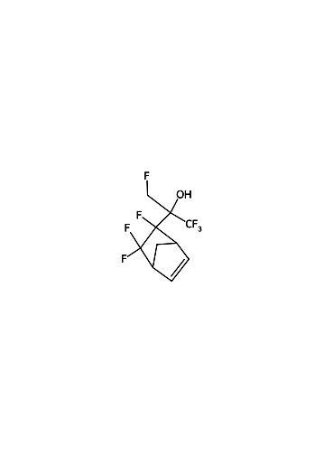 OC(CF)(C(F)(F)F)C1(F)C2C=CC(C2)C1(F)F